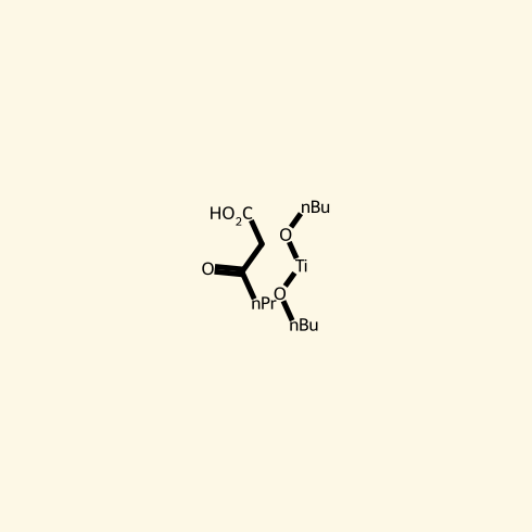 CCCC(=O)CC(=O)O.CCCC[O][Ti][O]CCCC